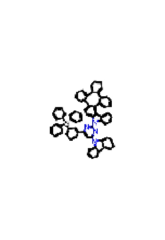 c1ccc([Si](c2ccccc2)(c2ccccc2)c2cccc(-c3cc(-n4c5ccccc5c5ccccc54)nc(-n4c5ccccc5c5c6c(ccc54)-c4ccccc4-c4ccccc4-c4ccccc4-6)n3)c2)cc1